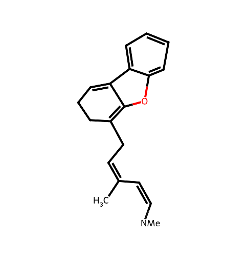 CN/C=C\C(C)=C/CC1=c2oc3ccccc3c2=CCC1